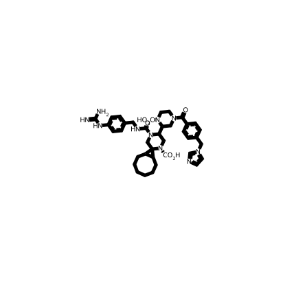 N=C(N)Nc1ccc(CNC(=O)N2CC3(C4CCCCCCC43)N(C(=O)O)CC2C2CN(C(=O)c3ccc(Cn4ccnc4)cc3)CCN2C(=O)O)cc1